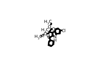 CCOC(=O)C(C)(C(=O)OCC)c1c(C(=O)c2ccccc2)[nH]c2cc(Cl)ccc12